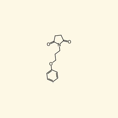 O=C1CCC(=O)N1CCCOc1cc[c]cc1